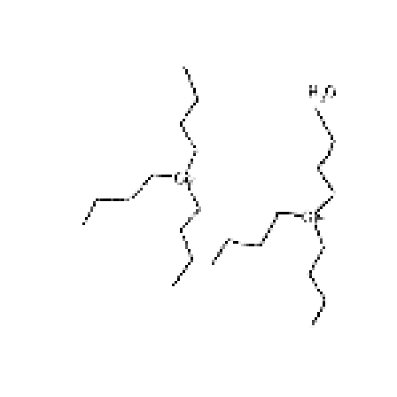 CCC[CH2][Ge]([CH2]CCC)[CH2]CCC.CCC[CH2][Ge]([CH2]CCC)[CH2]CCC.O